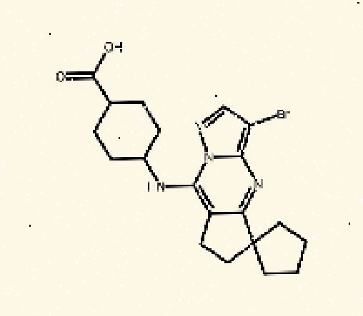 O=C(O)C1CCC(Nc2c3c(nc4c(Br)cnn24)C2(CCCC2)CC3)CC1